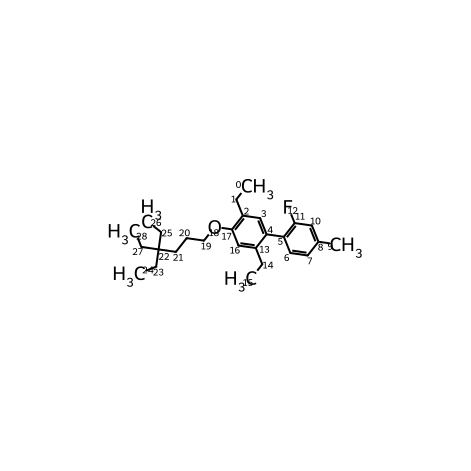 CCc1cc(-c2ccc(C)cc2F)c(CC)cc1OCCCC(CC)(CC)CC